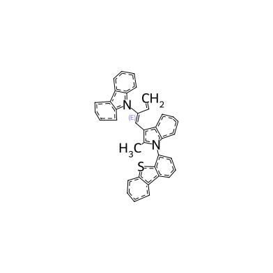 C=C/C(=C\c1c(C)n(-c2cccc3c2sc2ccccc23)c2ccccc12)n1c2ccccc2c2ccccc21